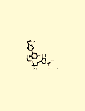 CCC(C)(C)CCC1CN(C(=O)OC(C)(C)C)C[C@H]1Nc1cc(-c2ccc3ccn(C)c3c2)c2nccnc2c1